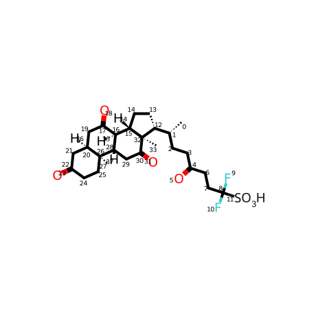 C[C@H](CCC(=O)CCC(F)(F)S(=O)(=O)O)[C@H]1CC[C@H]2[C@@H]3C(=O)C[C@@H]4CC(=O)CC[C@]4(C)[C@H]3CC(=O)[C@]12C